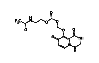 O=C(OCCNC(=O)C(F)(F)F)OCOc1c2n(ccc1=O)NCNC2=O